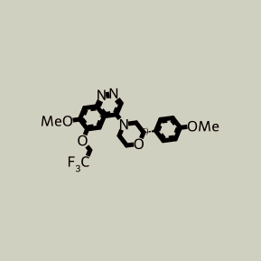 COc1ccc([C@H]2CN(c3cnnc4cc(OC)c(OCC(F)(F)F)cc34)CCO2)cc1